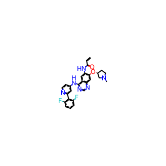 C=CC(=O)Nc1cc2c(Nc3ccnc(-c4c(F)cccc4F)c3)ncnc2cc1O[C@@H]1CCN(C)C1